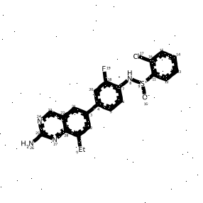 CCc1cc(-c2ccc(N[S+]([O-])c3ccccc3Cl)c(F)c2)cc2cnc(N)nc12